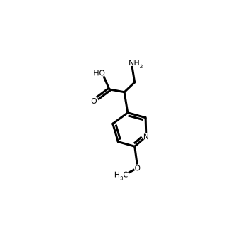 COc1ccc(C(CN)C(=O)O)cn1